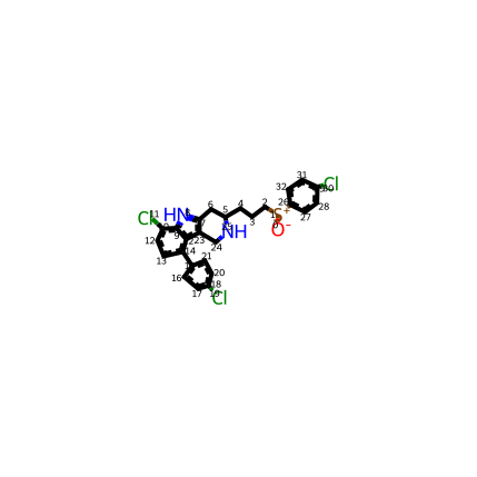 [O-][S+](CCCC1Cc2[nH]c3c(Cl)ccc(-c4ccc(Cl)cc4)c3c2CN1)c1ccc(Cl)cc1